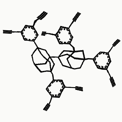 C#Cc1cc(C#C)cc(C23CC4CC(c5cc(C#C)cc(C#C)c5)(C2)CC(C25CC6CC(c7cc(C#C)cc(C#C)c7)(CC(c7cc(C#C)cc(C#C)c7)(C6)C2)C5)(C4)C3)c1